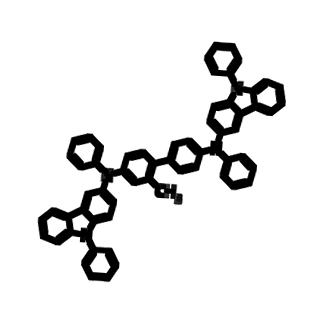 Cc1cc(N(c2ccccc2)c2ccc3c(c2)c2ccccc2n3-c2ccccc2)ccc1-c1ccc(N(c2ccccc2)c2ccc3c(c2)c2ccccc2n3-c2ccccc2)cc1